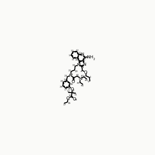 CCCOCc1nc2c(N)nc3ccccc3c2n1CCCN(Cc1cccc(OC(C)(C)C(=O)OCC)c1)C(=O)CN(CC)CC